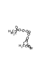 C=C/C=C\C=C\N(/C=C/C=C(\C=C)C1=CCC(Br)C=C1)c1ccc(-c2ccc3oc4ccc(-c5ccc(-c6ccc(N(C7=CC=CCC7)/C(C=C)=C/C=C)cc6)cc5)cc4c3c2)cc1